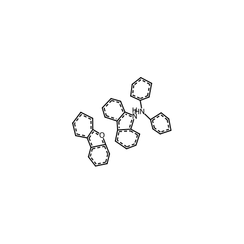 c1ccc(Nc2ccccc2)cc1.c1ccc2c(c1)[nH]c1ccccc12.c1ccc2c(c1)oc1ccccc12